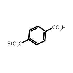 CCOC(=O)c1ccc(C(=O)O)cc1